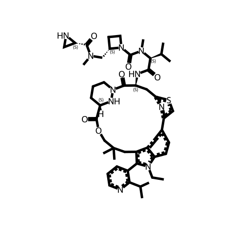 CCn1c(-c2cccnc2C(C)C)c2c3cc(ccc31)-c1csc(n1)C[C@H](NC(=O)[C@H](C(C)C)N(C)C(=O)N1CC[C@H]1CN(C)C(=O)[C@@H]1CN1)C(=O)N1CCC[C@H](N1)C(=O)OCC(C)(C)C2